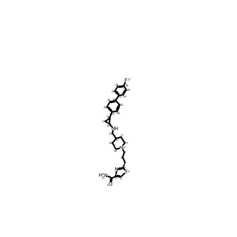 NC(=O)c1csc(CCCN2CCC(CNC3CC3c3ccc(-c4ccc(F)cc4)cc3)CC2)n1